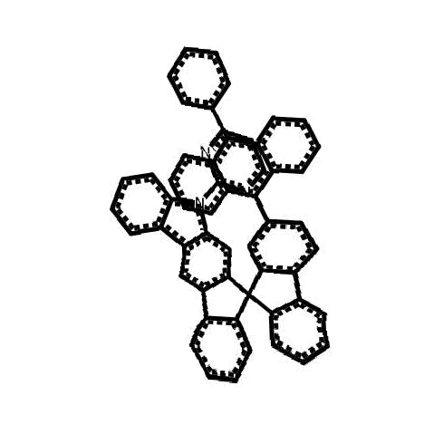 c1ccc(-c2c3ccccc3c(-c3ccc4c(c3)C3(c5ccccc5-4)c4ccccc4-c4cc5c6ccccc6n(-c6ncccn6)c5cc43)c3ccccc23)cc1